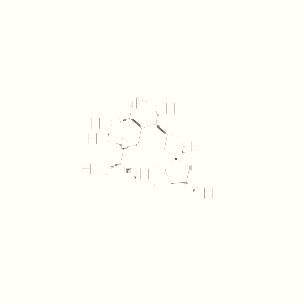 CC(=C/CC1(S)CCC(C)C1)/C(CC(C)C(C)N)=C(/C)C(C)C